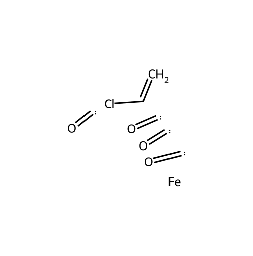 C=CCl.[C]=O.[C]=O.[C]=O.[C]=O.[Fe]